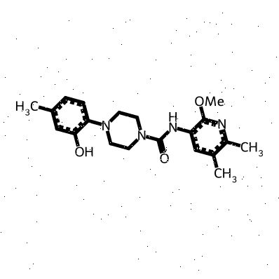 COc1nc(C)c(C)cc1NC(=O)N1CCN(c2ccc(C)cc2O)CC1